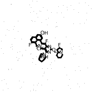 C#Cc1c(F)ccc2cc(O)cc(-c3ncc4c(N5CC6CCC(C5)N6)nc(OC[C@@]56CCCCN5C[C@H](F)C6)nc4c3F)c12